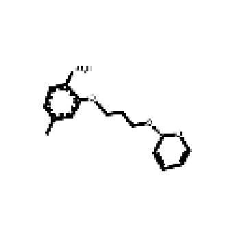 Cc1ccc(S(=O)(=O)O)c(OCCCO[C@@H]2C=CC=CO2)c1